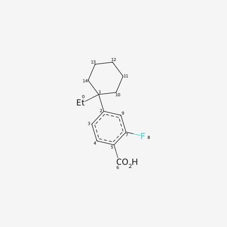 CCC1(c2ccc(C(=O)O)c(F)c2)CCCCC1